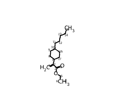 C=C(C(=O)OCC)C1CCC(CCCCC)CC1